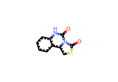 O=c1[nH]c2ccccc2c2csc(=O)n12